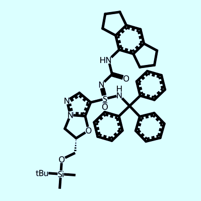 CC(C)(C)[Si](C)(C)OC[C@@H]1Cn2ncc(S(=O)(=NC(=O)Nc3c4c(cc5c3CCC5)CCC4)NC(c3ccccc3)(c3ccccc3)c3ccccc3)c2O1